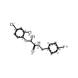 CCC(Sc1ccc(Cl)cc1Cl)C(=O)NCc1ccc(F)cc1